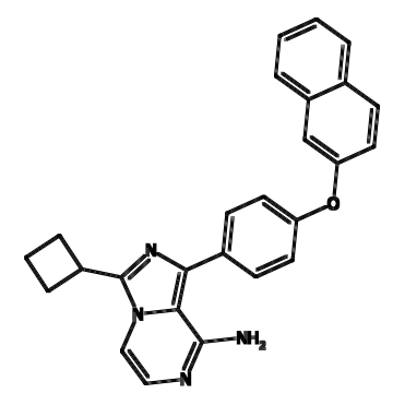 Nc1nccn2c(C3CCC3)nc(-c3ccc(Oc4ccc5ccccc5c4)cc3)c12